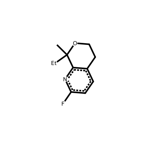 CCC1(C)OCCc2ccc(F)nc21